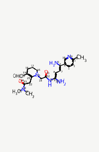 Cc1ccc(/C(N)=C/C=C(\N)NC(=O)CN2CCCC(C=O)=C2CC(=O)N(C)C)cn1